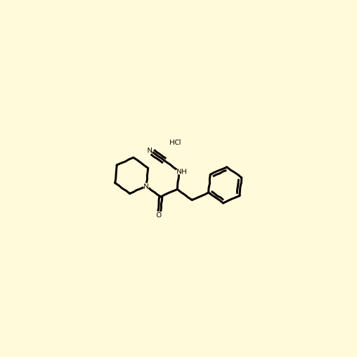 Cl.N#CNC(Cc1ccccc1)C(=O)N1CCCCC1